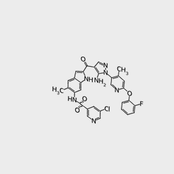 Cc1cc2cc(C(=O)c3cnn(-c4cnc(Oc5ccccc5F)cc4C)c3N)[nH]c2cc1NS(=O)(=O)c1cncc(Cl)c1